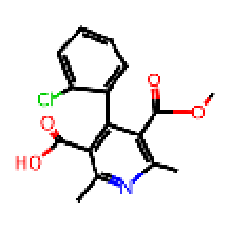 COC(=O)c1c(C)nc(C)c(C(=O)O)c1-c1ccccc1Cl